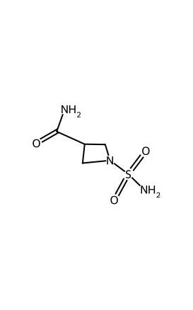 NC(=O)C1CN(S(N)(=O)=O)C1